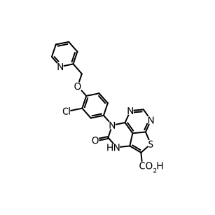 O=C(O)c1sc2ncnc3c2c1NC(=O)N3c1ccc(OCc2ccccn2)c(Cl)c1